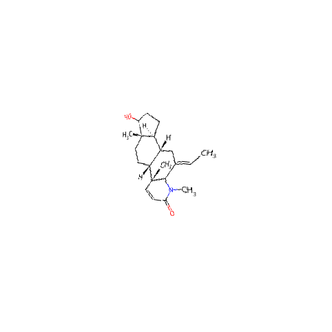 CC=C1C[C@@H]2[C@@H](CC[C@]3(C)C(O)CC[C@@H]23)[C@@]2(C)C=CC(=O)N(C)C12